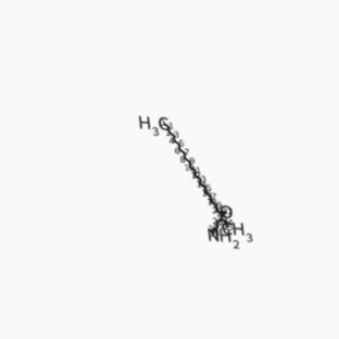 CCCCCCCCCCCCCCCCCCCCCC(=O)C(CC)CCCN